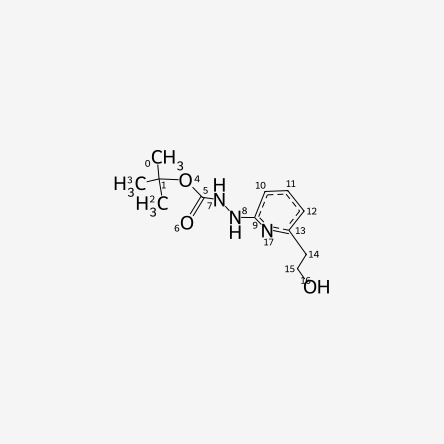 CC(C)(C)OC(=O)NNc1cccc(CCO)n1